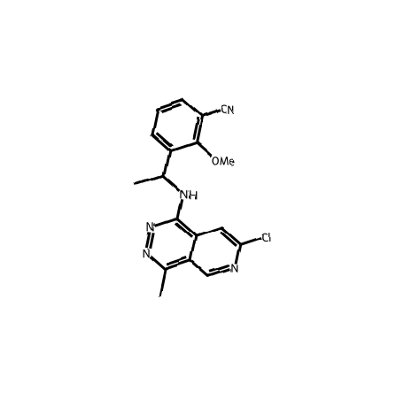 COc1c(C#N)cccc1C(C)Nc1nnc(C)c2cnc(Cl)cc12